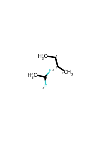 CC(F)F.CCCC